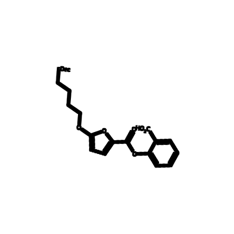 CCCCCCCCCCCCCCOc1ccc(C(=O)Oc2ccccc2C(=O)O)o1